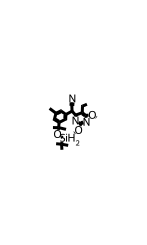 CCc1c(OC)nc(OC)nc1C(C#N)c1cc(C)cc(C(C)(C)O[SiH2]C(C)(C)C)c1